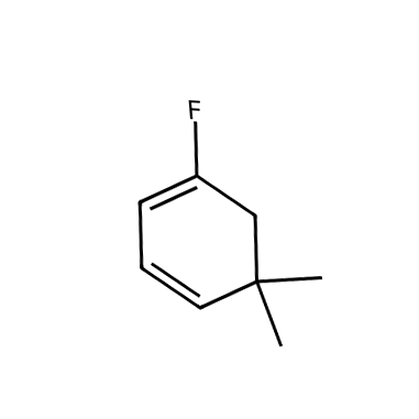 CC1(C)C=CC=C(F)C1